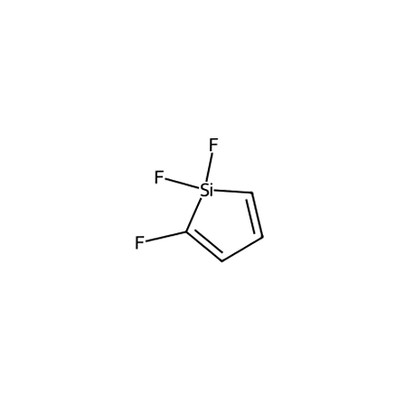 FC1=CC=C[Si]1(F)F